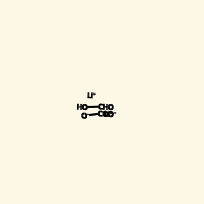 O=C([O-])[O-].O=CO.[Li+].[Li+]